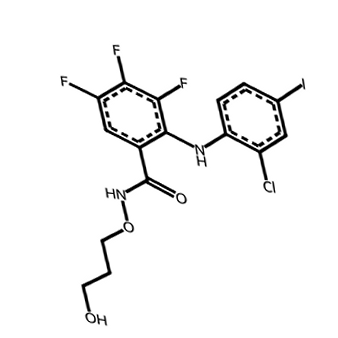 O=C(NOCCCO)c1cc(F)c(F)c(F)c1Nc1ccc(I)cc1Cl